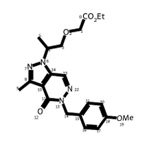 CCOC(=O)COCC(C)n1nc(C)c2c(=O)n(Cc3ccc(OC)cc3)ncc21